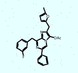 CC(=O)Oc1c(Cc2ccc(C)o2)nc2c(Cc3cccc(F)c3)nc(-c3ccccc3)cn12